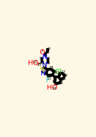 C=CC(=O)N1CCN(c2snc3c(F)c(-c4cc(O)cc5ccccc45)c(Cl)cc23)[C@H](CO)C1